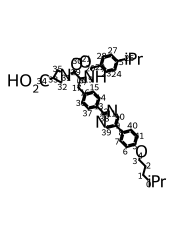 CC(C)CCCOc1ccc(-c2cnc(-c3ccc(C[C@H](NC(=O)c4ccc(C(C)C)cc4)C(=O)N4CC(C(=O)O)C4)cc3)nc2)cc1